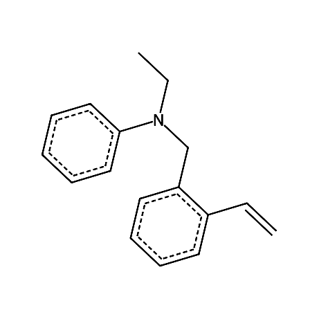 C=Cc1ccccc1CN(CC)c1ccccc1